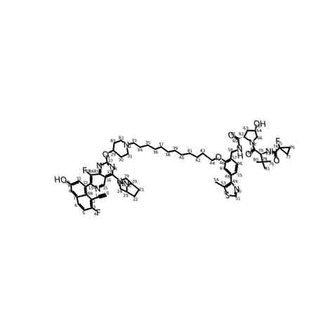 C#Cc1c(F)ccc2cc(O)cc(-c3ncc4c(N5CC6CCC(C5)N6)nc(OC5CCN(CCCCCCCCCCCCOc6cc(-c7ncsc7C)ccc6CNC(=O)[C@@H]6C[C@@H](O)CN6C(=O)[C@@H](NC(=O)C6(F)CC6)C(C)(C)C)CC5)nc4c3F)c12